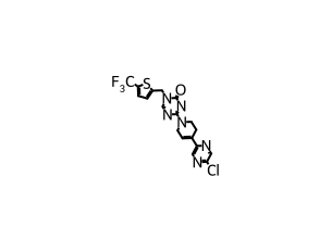 O=c1nc(N2CC=C(c3cnc(Cl)cn3)CC2)ncn1Cc1ccc(C(F)(F)F)s1